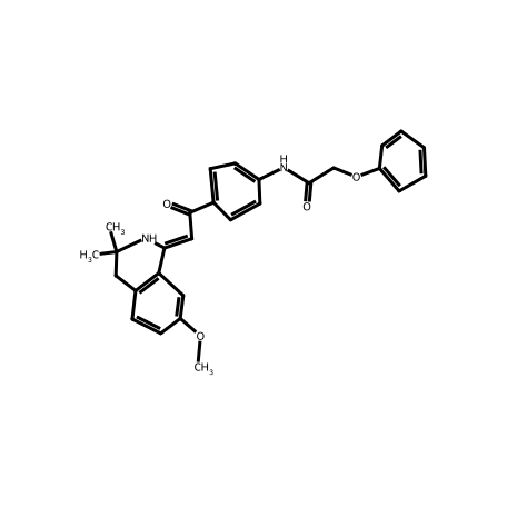 COc1ccc2c(c1)C(=CC(=O)c1ccc(NC(=O)COc3ccccc3)cc1)NC(C)(C)C2